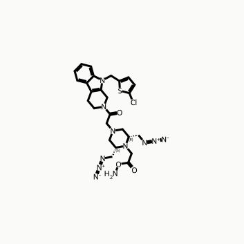 [N-]=[N+]=NC[C@@H]1CN(CC(=O)N2CCc3c(n(Cc4ccc(Cl)s4)c4ccccc34)C2)C[C@H](CN=[N+]=[N-])N1CC(=O)ON